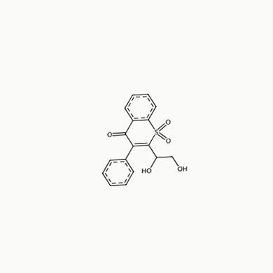 O=C1C(c2ccccc2)=C(C(O)CO)S(=O)(=O)c2ccccc21